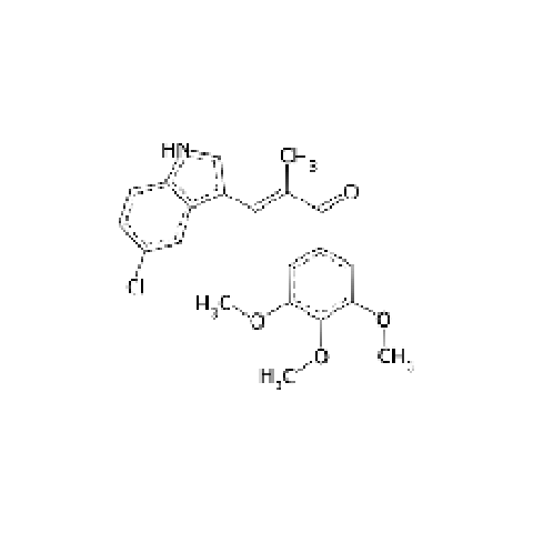 COc1cc(C(=O)/C(C)=C/c2c[nH]c3ccc(Cl)cc23)cc(OC)c1OC